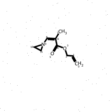 C=CCOC(=O)C(C)=CN1CC1